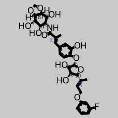 C/C(=C\c1ccc(O[C@@H]2O[C@H](/C(C)=C/COc3cccc(F)c3)[C@@H](O)[C@@H]2O)c(O)c1)C(=O)N[C@@H]1[C@H](O)[C@@H](O)[C@H]2OCO[C@H]2[C@@H]1O